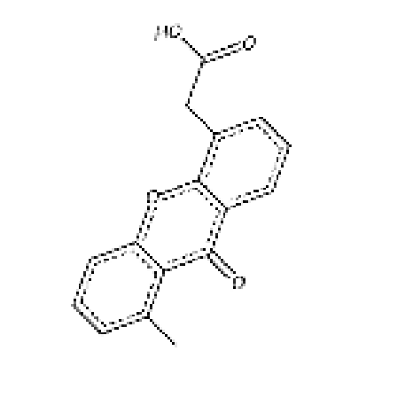 Cc1cccc2oc3c(CC(=O)O)cccc3c(=O)c12